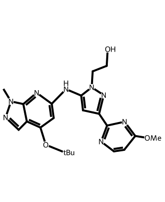 COc1ccnc(-c2cc(Nc3cc(OC(C)(C)C)c4cnn(C)c4n3)n(CCO)n2)n1